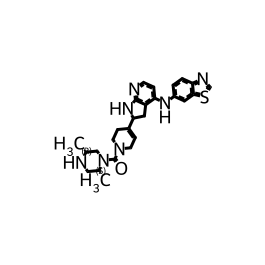 C[C@@H]1CN(C(=O)N2CC=C(C3Cc4c(Nc5ccc6ncsc6c5)ccnc4N3)CC2)[C@@H](C)CN1